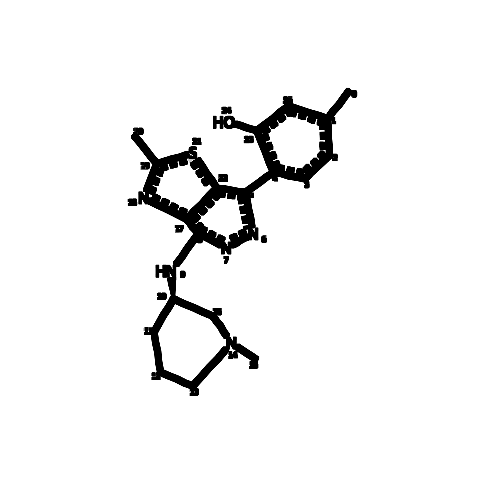 Cc1ccc(-c2nnc(N[C@@H]3CCCN(C)C3)c3nc(C)sc23)c(O)c1